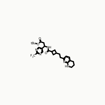 CC(C)(C)OC(=O)CC(NC(=O)C1CC(CCc2ccc3c(n2)NCCC3)C1)c1cnc(C(F)(F)F)nc1